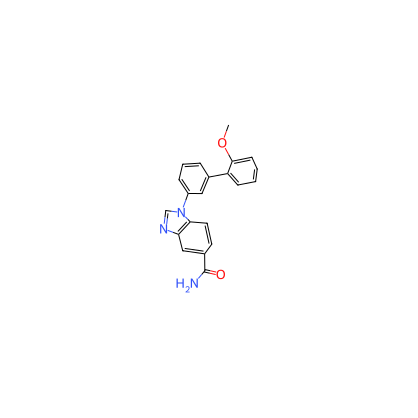 COc1ccccc1-c1cccc(-n2cnc3cc(C(N)=O)ccc32)c1